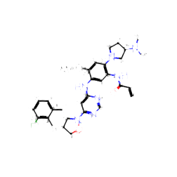 C=CC(=O)Nc1cc(Nc2cc(N3OCC[C@@H]3Cc3cccc(F)c3C)ncn2)c(OC)cc1N1CC[C@@H](N(C)C)C1